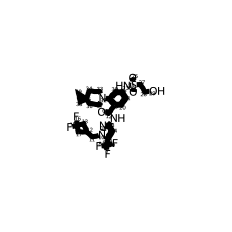 O=C(Nc1cc(C(F)(F)F)n(CC2CC(F)(F)C2)n1)c1ccc(NS(=O)(=O)CCO)cc1N1CCC2(CC1)CC2